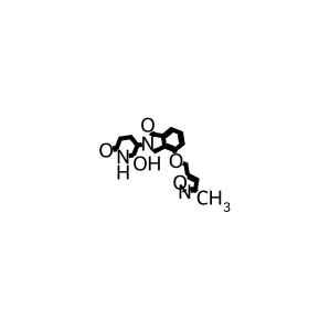 Cc1cc(COc2cccc3c2CN(C2CCC(=O)NC2O)C3=O)on1